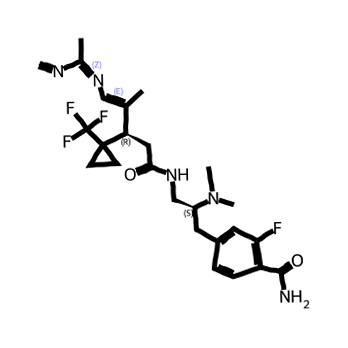 C=N/C(C)=N\C=C(/C)[C@@H](CC(=O)NC[C@H](Cc1ccc(C(N)=O)c(F)c1)N(C)C)C1(C(F)(F)F)CC1